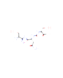 CC(=O)[C@H](CO)NC(=O)N[C@@H](CC(N)=O)c1nc([C@@H](N)CO)no1